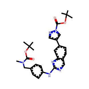 CN(Cc1ccc(Nc2ncc3ccc(-c4cnn(C(=O)OC(C)(C)C)c4)cc3n2)cc1)C(=O)OC(C)(C)C